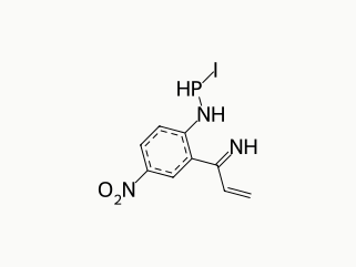 C=CC(=N)c1cc([N+](=O)[O-])ccc1NPI